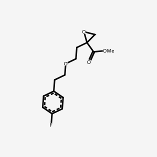 COC(=O)C1(CCOCCc2ccc(F)cc2)CO1